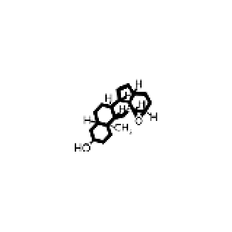 C[C@]12CC[C@@H](O)C[C@@H]1CC[C@@H]1[C@@H]2CC[C@]23[C@@H](CC[C@H]4O[C@@H]42)CC[C@@H]13